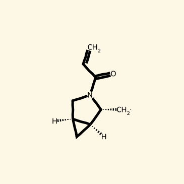 [CH2][C@@H]1[C@H]2C[C@H]2CN1C(=O)C=C